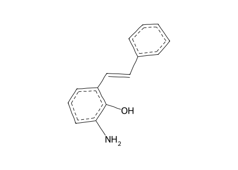 Nc1cccc(/C=C/c2ccccc2)c1O